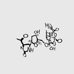 CC(=O)C1=NC(=O)NC1[C@H]1C[C@H](O)[C@@H](COP(=O)(O)OP(=O)(O)OP(=O)(O)O)O1